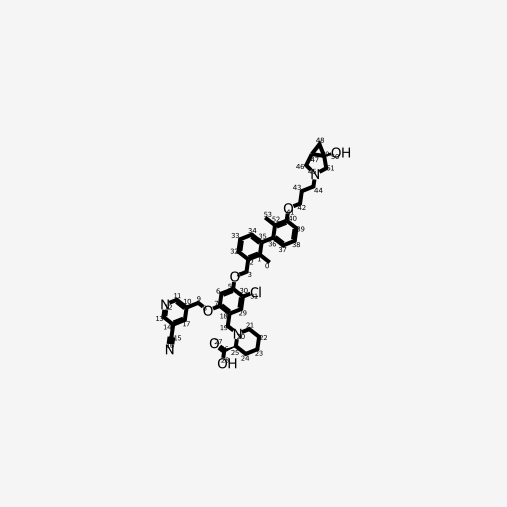 Cc1c(COc2cc(OCc3cncc(C#N)c3)c(CN3CCCC[C@H]3C(=O)O)cc2Cl)cccc1-c1cccc(OCCCN2CC3C[C@]3(O)C2)c1C